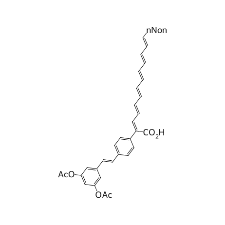 CCCCCCCCCC=CC=CC=CC=CC=CC=C(C(=O)O)c1ccc(C=Cc2cc(OC(C)=O)cc(OC(C)=O)c2)cc1